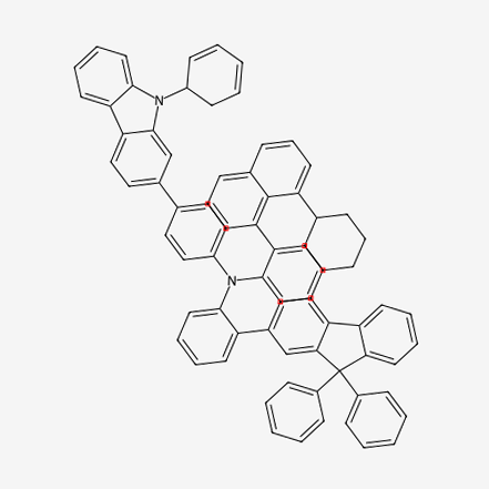 C1=CCC(n2c3ccccc3c3ccc(-c4ccc(N(c5ccccc5-c5ccc6c(c5)C(c5ccccc5)(c5ccccc5)c5ccccc5-6)c5ccccc5-c5cccc6cccc(C7CCCCC7)c56)cc4)cc32)C=C1